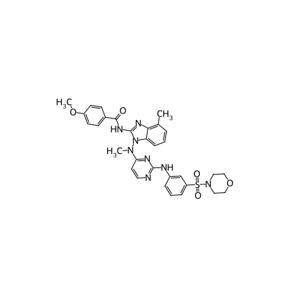 COc1ccc(C(=O)Nc2nc3c(C)cccc3n2N(C)c2ccnc(Nc3cccc(S(=O)(=O)N4CCOCC4)c3)n2)cc1